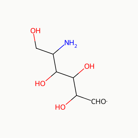 NC(CO)C(O)C(O)C(O)[C]=O